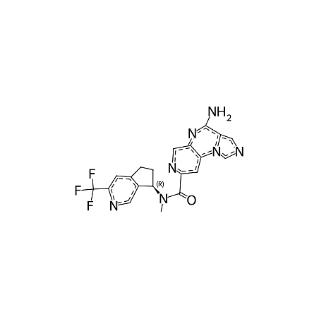 CN(C(=O)c1cc2c(cn1)nc(N)c1cncn12)[C@@H]1CCc2cc(C(F)(F)F)ncc21